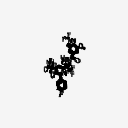 COc1cc(C(=O)NC[C@](O)(c2cc3c(c(-c4ccc(F)cc4)n2)OCC3(CF)C(N)=O)C(F)(F)F)cc2cn(C(F)F)nc12